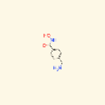 NCc1ccc(C(=O)NO)cc1